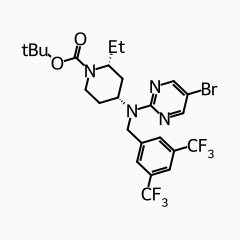 CC[C@@H]1C[C@H](N(Cc2cc(C(F)(F)F)cc(C(F)(F)F)c2)c2ncc(Br)cn2)CCN1C(=O)OC(C)(C)C